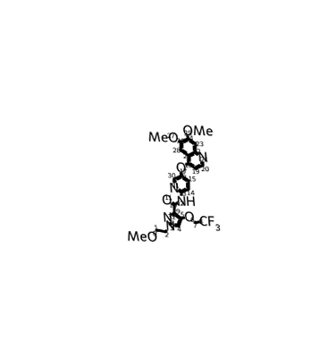 COCCn1cc(OCC(F)(F)F)c(C(=O)Nc2ccc(Oc3ccnc4cc(OC)c(OC)cc34)cn2)n1